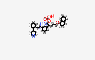 O=C(O)Oc1[nH]c2c(/C=C/c3ccccc3-c3ccncc3)cccc2c1CCCOc1cccc2ccccc12